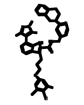 Cc1cc(OCCCc2c(C(=O)NCc3ccnc(C4CCc5ccccc5C4)c3)[nH]c3c(-c4c(C)nn(C)c4C)cccc23)cc(C)c1Cl